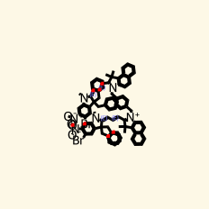 CN1/C(=C/C=C/C2=[N+](Cc3ccc(C[N+]4=C(/C=C/C=C5/N(C)c6cc([N+](=O)[O-])c(Br)cc6C5(Cc5ccccc5)Cc5ccccc5)C(C)(C)c5c4ccc4ccccc54)cc3)c3ccc4ccccc4c3C2(C)C)C(Cc2ccccc2)(Cc2ccccc2)c2cc(Br)c([N+](=O)[O-])cc21